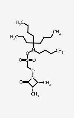 CCCCN(OS(=O)(=O)CON1C(=O)[C@@H](C)[C@@H]1C)C(CCC)(CCCC)CCCC